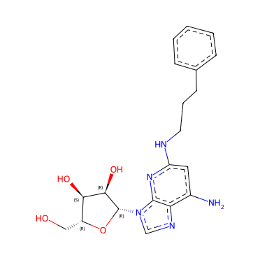 Nc1cc(NCCCc2ccccc2)nc2c1ncn2[C@@H]1O[C@H](CO)[C@@H](O)[C@H]1O